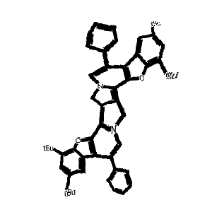 CC(C)(C)c1cc(C(C)(C)C)c2oc3c(c2c1)C(c1ccccc1)=CN1CC2=C4c5oc6c(C(C)(C)C)cc(C(C)(C)C)cc6c5C(c5ccccc5)=CN4CC2=C31